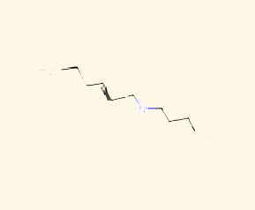 CCC/C=C/C[N]CCCC